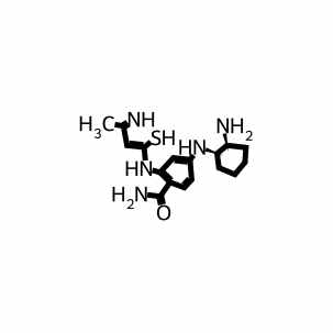 CC(=N)/C=C(\S)Nc1cc(N[C@@H]2CCCC[C@@H]2N)ccc1C(N)=O